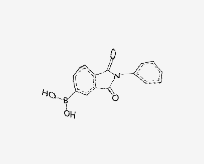 O=C1c2ccc(B(O)O)cc2C(=O)N1c1ccccc1